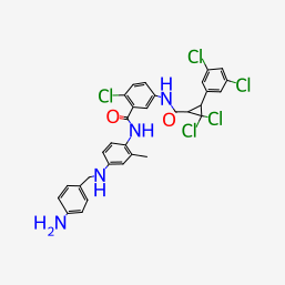 Cc1cc(NCc2ccc(N)cc2)ccc1NC(=O)c1cc(NC(=O)C2C(c3cc(Cl)cc(Cl)c3)C2(Cl)Cl)ccc1Cl